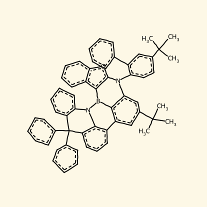 CC(C)(C)c1ccc(N2c3cc(C(C)(C)C)cc4c3B(c3c2oc2ccccc32)N2c3ccccc3C(c3ccccc3)(c3ccccc3)c3cccc-4c32)c(-c2ccccc2)c1